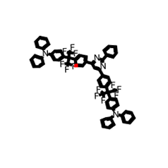 FC(F)(F)C(c1ccc(-c2cc(-c3ccc(C(c4ccc(N(c5ccccc5)c5ccccc5)cc4)(C(F)(F)F)C(F)(F)F)cc3)nc(-c3ccccc3)n2)cc1)(c1ccc(N(c2ccccc2)c2ccccc2)cc1)C(F)(F)F